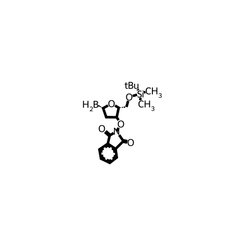 B[C@H]1CC(ON2C(=O)c3ccccc3C2=O)[C@@H](CO[Si](C)(C)C(C)(C)C)O1